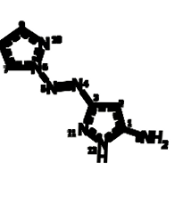 Nc1cc(/N=N/n2cccn2)n[nH]1